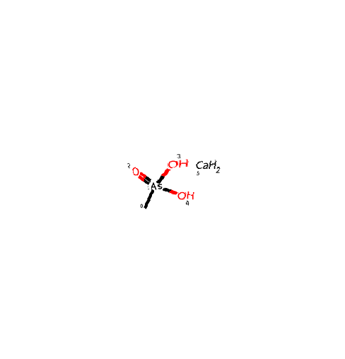 C[As](=O)(O)O.[CaH2]